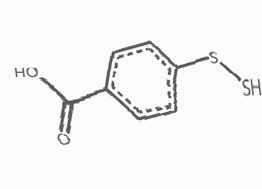 O=C(O)c1ccc(SS)cc1